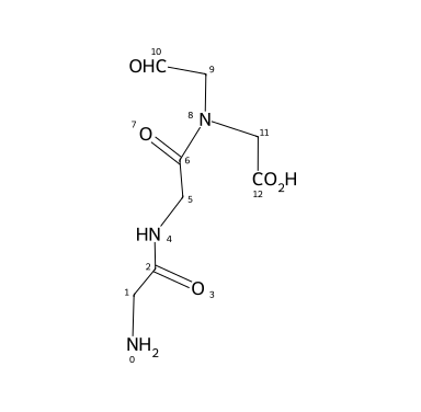 NCC(=O)NCC(=O)N(CC=O)CC(=O)O